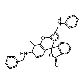 CC1C2=C(C=CC1NCc1ccccc1)C1(OC(=O)c3ccccc31)c1ccc(Nc3ccccc3)cc1O2